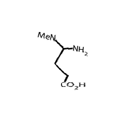 CNC(N)CCC(=O)O